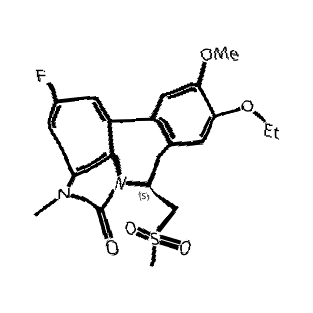 CCOc1cc2c(cc1OC)-c1cc(F)cc3c1n(c(=O)n3C)[C@@H]2CS(C)(=O)=O